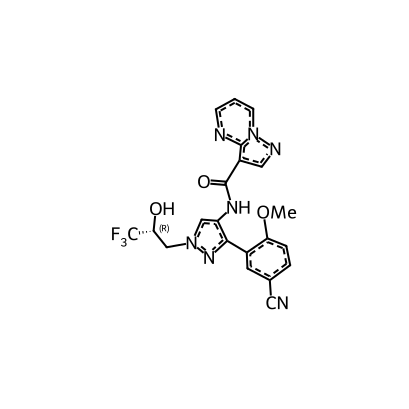 COc1ccc(C#N)cc1-c1nn(C[C@@H](O)C(F)(F)F)cc1NC(=O)c1cnn2cccnc12